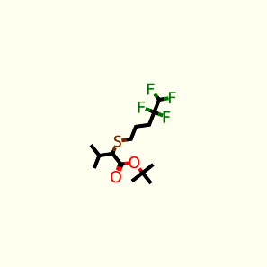 CC(C)C(SCCCC(F)(F)C(F)F)C(=O)OC(C)(C)C